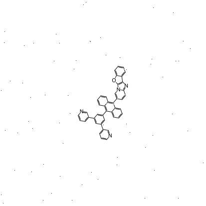 c1cncc(-c2cc(-c3cccnc3)cc(-c3c4ccccc4c(-c4ccc5nc6c7ccccc7oc6n5c4)c4ccccc34)c2)c1